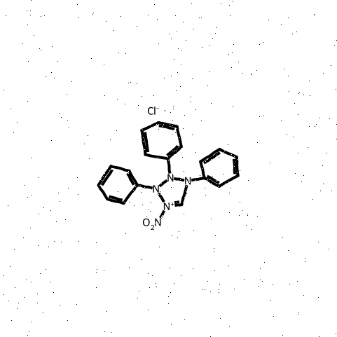 O=[N+]([O-])[N+]1=CN(c2ccccc2)N(c2ccccc2)N1c1ccccc1.[Cl-]